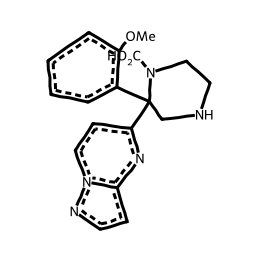 COc1ccccc1C1(c2ccn3nccc3n2)CNCCN1C(=O)O